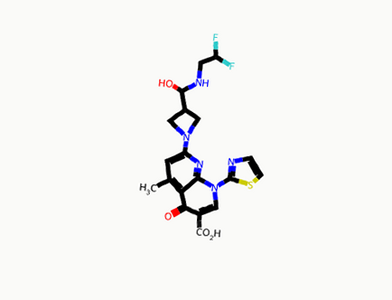 Cc1cc(N2CC(C(O)NCC(F)F)C2)nc2c1c(=O)c(C(=O)O)cn2-c1nccs1